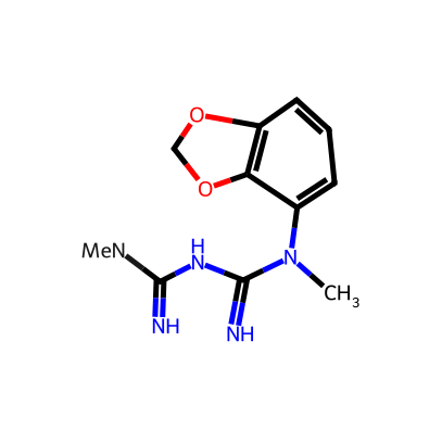 CNC(=N)NC(=N)N(C)c1cccc2c1OCO2